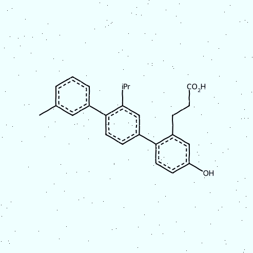 Cc1cccc(-c2ccc(-c3ccc(O)cc3CCC(=O)O)cc2C(C)C)c1